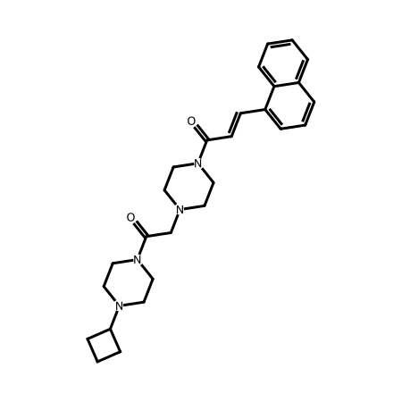 O=C(C=Cc1cccc2ccccc12)N1CCN(CC(=O)N2CCN(C3CCC3)CC2)CC1